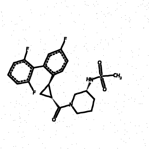 CS(=O)(=O)N[C@@H]1CCCN(C(=O)[C@@H]2C[C@H]2c2ccc(F)cc2-c2c(F)cccc2F)C1